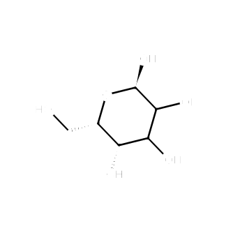 OC[C@@H]1O[C@@H](O)C(O)C(O)[C@@H]1O